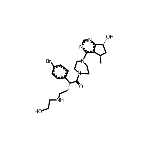 C[C@@H]1C[C@@H](O)c2ncnc(N3CCN(C(=O)[C@H](CCNCCO)c4ccc(Br)cc4)CC3)c21